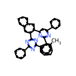 CC1CC=CC=CC1c1nc(-c2ccccc2)cc(-c2cc3ccccc3cc2-c2nc(-c3ccccc3)nc(-c3ccccc3)n2)n1